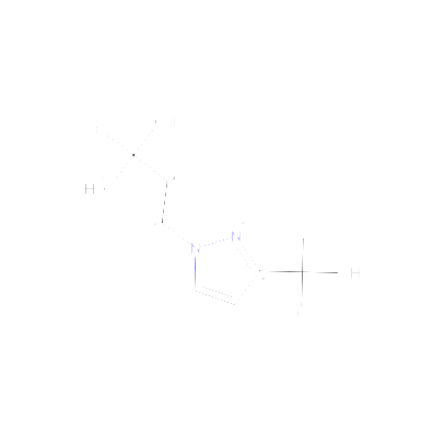 CC(C)(C)CCn1ccc(C(C)(C)C)n1